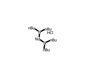 CCCC[N](CCCC)[Nd][N](CCCC)CCCC.Cl